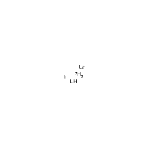 P.[La].[LiH].[Ti]